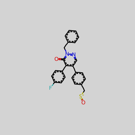 O=[S+]Cc1ccc(-c2cnn(Cc3ccccc3)c(=O)c2-c2ccc(F)cc2)cc1